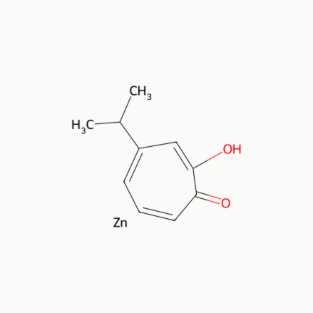 CC(C)c1cccc(=O)c(O)c1.[Zn]